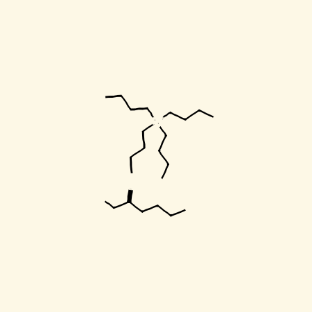 CCCCC(=O)C[O-].CCCC[N+](CCCC)(CCCC)CCCC